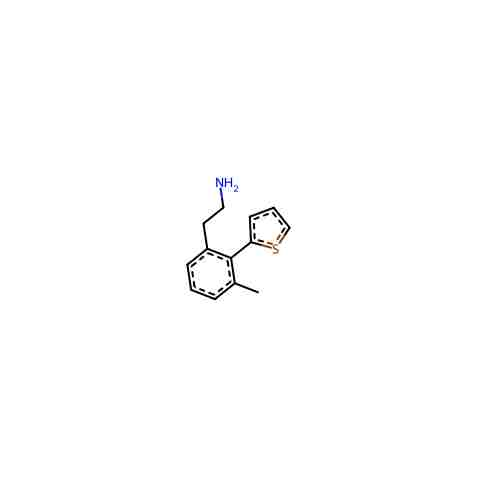 Cc1cccc(CCN)c1-c1cccs1